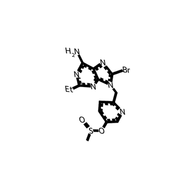 CCc1nc(N)c2nc(Br)n(Cc3ccc(OS(C)=O)cn3)c2n1